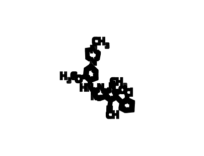 C#Cc1c(-c2ccccc2Cl)c(=O)n(C)c2nc(Nc3ccc(N4CCN(C)CC4)cc3OC)ncc12